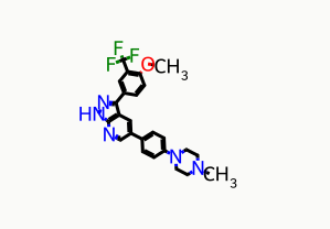 COc1ccc(-c2n[nH]c3ncc(-c4ccc(N5CCN(C)CC5)cc4)cc23)cc1C(F)(F)F